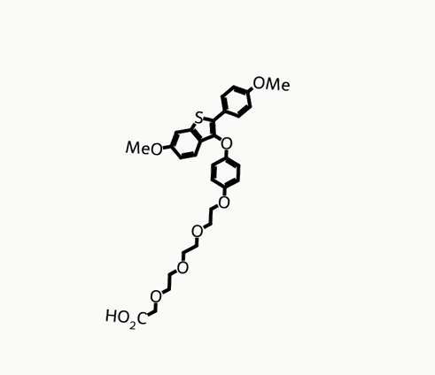 COc1ccc(-c2sc3cc(OC)ccc3c2Oc2ccc(OCCOCCOCCOCC(=O)O)cc2)cc1